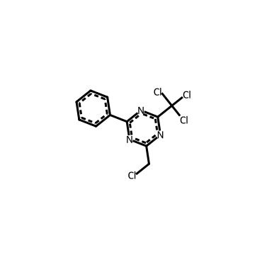 ClCc1nc(-c2ccccc2)nc(C(Cl)(Cl)Cl)n1